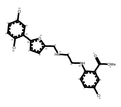 COC(=O)c1cc(Cl)ccc1NCCNCc1ccc(-c2cc(Cl)ccc2Cl)o1